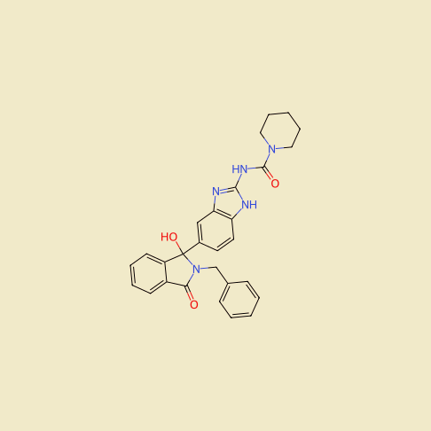 O=C(Nc1nc2cc(C3(O)c4ccccc4C(=O)N3Cc3ccccc3)ccc2[nH]1)N1CCCCC1